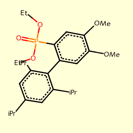 CCOP(=O)(OCC)c1cc(OC)c(OC)cc1-c1c(C(C)C)cc(C(C)C)cc1C(C)C